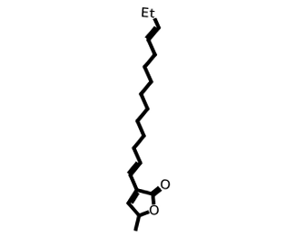 CC/C=C/CCCCCCCC/C=C/C1=CC(C)OC1=O